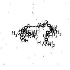 COc1cc(C(CC(=O)O)c2ccc(C)c(CN(C)Sc3ccc(OCCCCCCNC(=O)CN4CCN(C(=O)c5ccc(Nc6nc(-c7cccc(NC(=O)c8ccc(C(C)(C)C)cc8)c7C)cn(C)c6=O)cc5)CC4)cc3)c2)cc(N)c1N(C)N